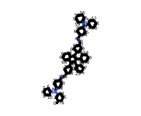 CC1C=C(N(c2ccccc2)c2ccc(/C=C/c3ccc(-c4c(-c5ccccc5)c(-c5ccccc5)c(-c5ccc(/C=C/c6ccc(N(c7ccccc7)c7ccccc7)cc6)cc5)c5ccccc45)cc3)cc2)C=CC1